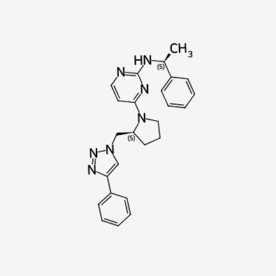 C[C@H](Nc1nccc(N2CCC[C@H]2Cn2cc(-c3ccccc3)nn2)n1)c1ccccc1